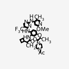 C=C(C(=O)Nc1cc(O[C@@H](C)C(=O)N2CCN(C(C)=O)CC2)ccc1Nc1nc(Nc2cc(OC)ncc2C)ncc1C(F)(F)F)C1CCC1